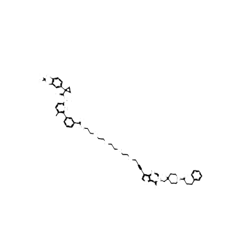 Cc1ccc(NC(=O)C2(c3ccc4c(c3)OC(F)(F)O4)CC2)nc1-c1cccc(C(=O)NCCOCCOCCOCCOCC#Cc2csc3c(=O)n(CC4(O)CCN(C(=O)C[C@@H](C)c5ccccc5)CC4)cnc23)c1